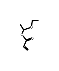 C=CC(=O)O[C](C)OCC